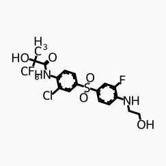 CC(O)(C(=O)Nc1ccc(S(=O)(=O)c2ccc(NCCO)c(F)c2)cc1Cl)C(F)(F)F